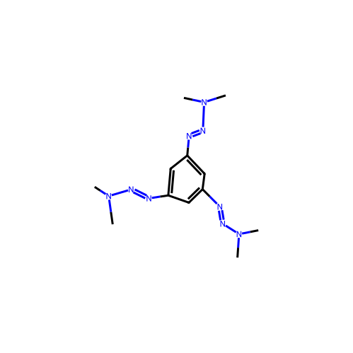 CN(C)/N=N/c1cc(/N=N/N(C)C)cc(/N=N/N(C)C)c1